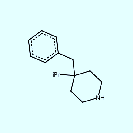 CC(C)C1(Cc2ccccc2)CCNCC1